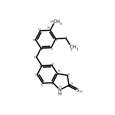 CCc1cc(Cc2ccc3c(c2)CC(=S)N3)ccc1C